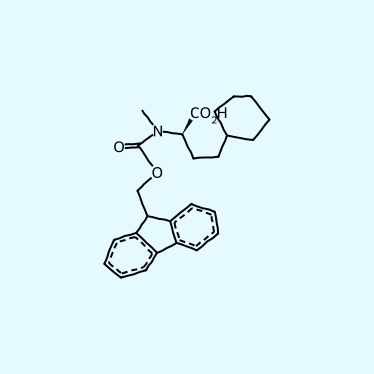 CN(C(=O)OCC1c2ccccc2-c2ccccc21)[C@H](CCC1CCCCC1)C(=O)O